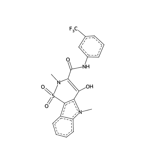 CN1C(C(=O)Nc2cccc(C(F)(F)F)c2)=C(O)c2c(c3ccccc3n2C)S1(=O)=O